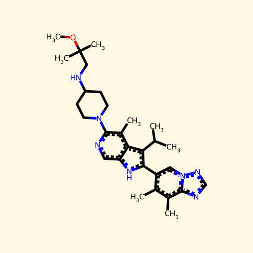 COC(C)(C)CNC1CCN(c2ncc3[nH]c(-c4cn5ncnc5c(C)c4C)c(C(C)C)c3c2C)CC1